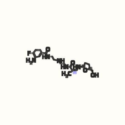 C/C(=C/N[C@H]1CC[C@@H](CO)O1)C(=O)NCCNCCNC(=O)c1ccc(F)c(N)c1